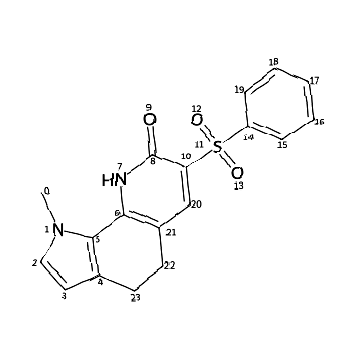 Cn1ccc2c1-c1[nH]c(=O)c(S(=O)(=O)c3ccccc3)cc1CC2